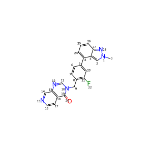 Cn1cc2c(-c3ccc(Cn4cnc5cnccc5c4=O)c(F)c3)cccc2n1